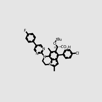 Cc1c([C@H](OC(C)(C)C)C(=O)O)c(-c2ccc(Cl)cc2)c2cc(C)n3c2c1N(c1ncc(-c2ccc(F)cc2)cn1)CC3